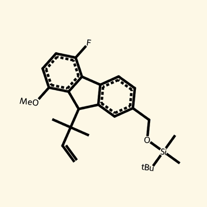 C=CC(C)(C)C1c2cc(CO[Si](C)(C)C(C)(C)C)ccc2-c2c(F)ccc(OC)c21